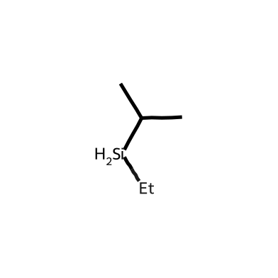 CC[SiH2]C(C)C